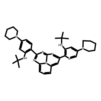 CC(C)(C)Nc1cc(N2CCCCC2)ccc1C1=NC2=CC=CC3=CC(c4ncc(N5CCCCC5)cc4NC(C)(C)C)=NC(=N1)N32